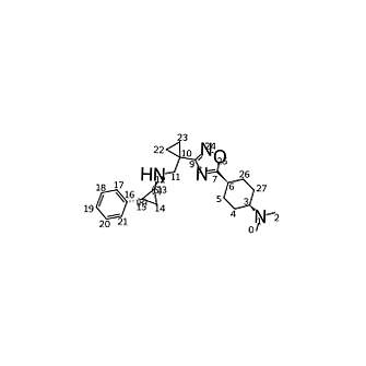 CN(C)[C@H]1CC[C@@H](c2nc(C3(CN[C@H]4C[C@@H]4c4ccccc4)CC3)no2)CC1